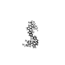 CNC(=O)NC(C(=O)N1CCCC1c1nc2ccc(-c3cnc(Cc4cnc(C5CCCN5C(=O)C(NC(=O)OC)C(C)C)[nH]4)cn3)cc2[nH]1)C(C)C